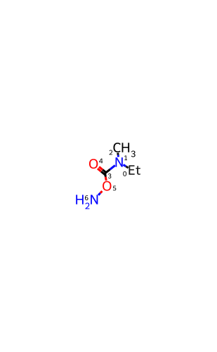 CCN(C)C(=O)ON